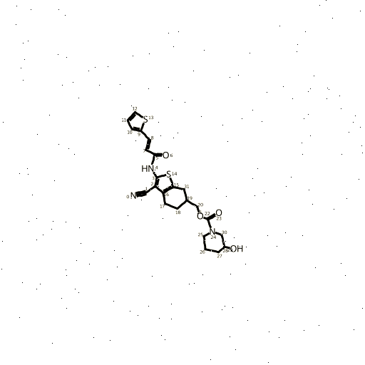 N#Cc1c(NC(=O)C=Cc2cccs2)sc2c1CCC(COC(=O)N1CCCC(O)C1)C2